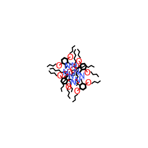 CCCCCC[Si](CCCCCC)(CCCCCC)O[Si]1(O[Si](CCCCCC)(CCCCCC)CCCCCC)n2c3c4c(OCCCC)ccc(OCCCC)c4c2/N=C2N=C(/N=c4/c5c(OCCCC)ccc(OCCCC)c5/c(n41)=N/C1=NC(=N\3)/c3c(OCCCC)ccc(OCCCC)c31)c1c(OCCCC)ccc(OCCCC)c1\2